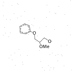 COC(C[O])COc1ccccc1